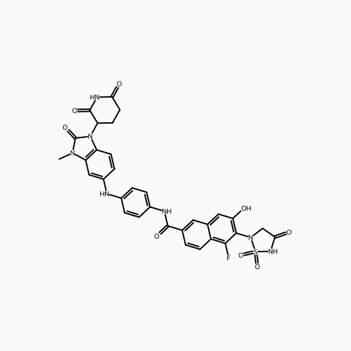 Cn1c(=O)n(C2CCC(=O)NC2=O)c2ccc(Nc3ccc(NC(=O)c4ccc5c(F)c(N6CC(=O)NS6(=O)=O)c(O)cc5c4)cc3)cc21